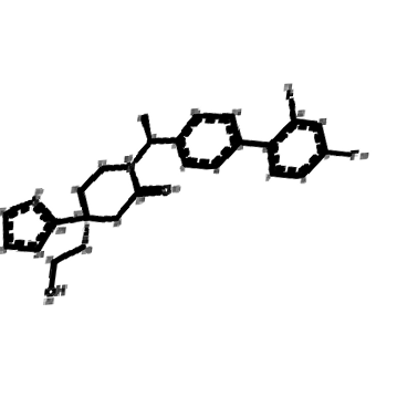 C[C@@H](c1ccc(-c2ccc(F)cc2F)cc1)N1CC[C@](CCO)(c2cccs2)CC1=O